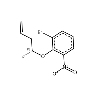 C=CC[C@@H](C)Oc1c(Br)cccc1[N+](=O)[O-]